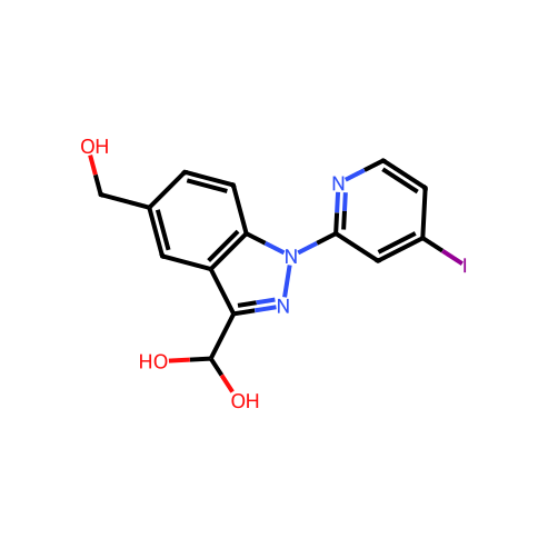 OCc1ccc2c(c1)c(C(O)O)nn2-c1cc(I)ccn1